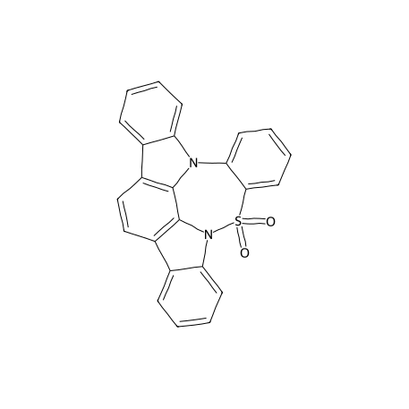 O=S1(=O)c2ccccc2-n2c3ccccc3c3ccc4c5ccccc5n1c4c32